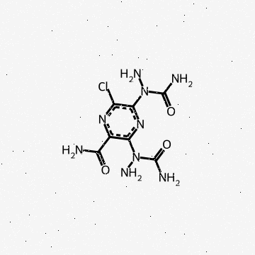 NC(=O)c1nc(Cl)c(N(N)C(N)=O)nc1N(N)C(N)=O